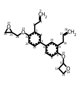 C=CCc1cc(-c2ccc(OC3CCO3)c(CC=C)c2)ccc1OCC1CO1